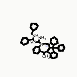 C=C1C2=C(/C=C\N(C(N)NC(NCc3ccccc3)c3ccccc3)c3ccccc31)C(c1ccccc1)(c1ccccc1)c1ccccc12